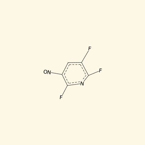 O=Nc1cc(F)c(F)nc1F